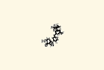 O=C1NCCc2c1cnn2-c1ccnc(Cc2cc(F)cc(C3(C(F)(F)F)CC3)c2)c1